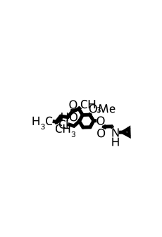 COC1C(OC(=O)CNC2CC2)CCC(O)(CCl)C1C1(C)OC1CC=C(C)C